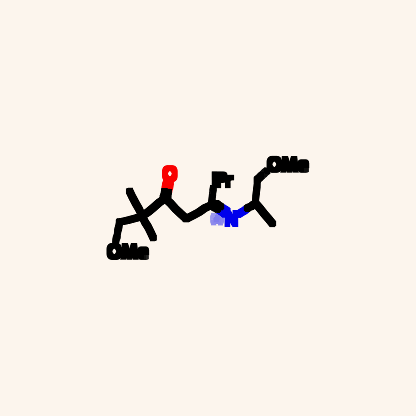 COCC(C)/N=C(/CC(=O)C(C)(C)COC)C(C)C